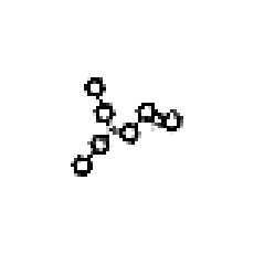 c1ccc(-c2ccc(N(c3ccc(-c4ccccc4)cc3)c3cccc(-c4cccc5c4oc4cccnc45)c3)cc2)cc1